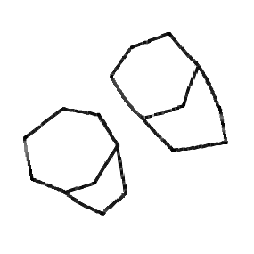 C1CC2CCCC(C1)C2.C1CCC2CCC(C1)C2